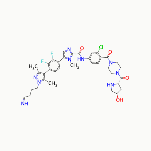 Cc1nn(CCCC=N)c(C)c1-c1ccc(-c2cnc(C(=O)Nc3ccc(C(=O)N4CCN(C(=O)[C@@H]5C[C@@H](O)CN5)CC4)c(Cl)c3)n2C)c(F)c1F